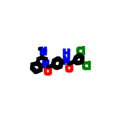 CN(C)C1Cc2ccccc2N(C(=O)c2ccc(NC(=O)c3cc(Cl)cc(Cl)c3)cc2)C1